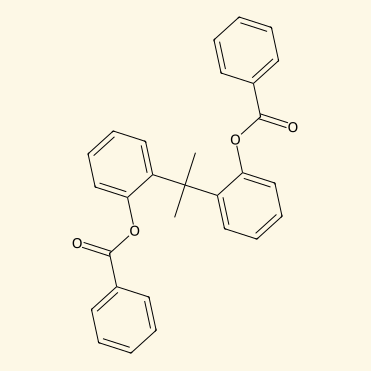 CC(C)(c1ccccc1OC(=O)c1ccccc1)c1ccccc1OC(=O)c1ccccc1